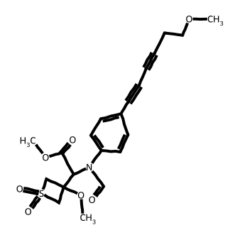 COCCC#CC#Cc1ccc(N(C=O)C(C(=O)OC)C2(OC)CS(=O)(=O)C2)cc1